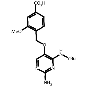 CCCCNc1nc(N)ncc1OCc1ccc(C(=O)O)cc1OC